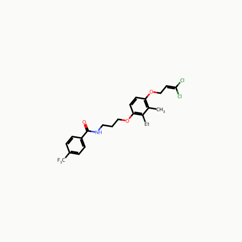 CCc1c(OCCCNC(=O)c2ccc(C(F)(F)F)cc2)ccc(OCC=C(Cl)Cl)c1C